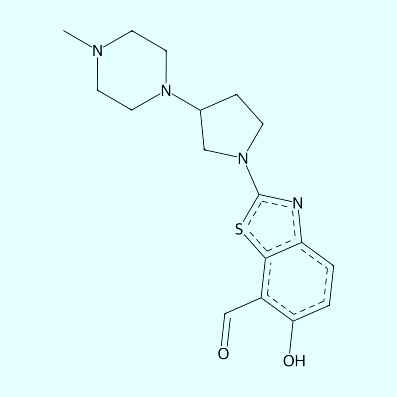 CN1CCN(C2CCN(c3nc4ccc(O)c(C=O)c4s3)C2)CC1